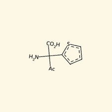 CC(=O)C(N)(C(=O)O)c1cccs1